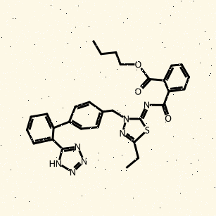 CCCCOC(=O)c1ccccc1C(=O)N=c1sc(CC)nn1Cc1ccc(-c2ccccc2-c2nnn[nH]2)cc1